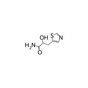 NC(=O)C(O)Cc1cncs1